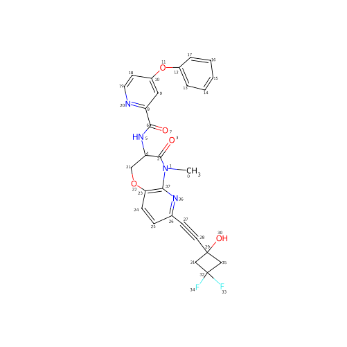 CN1C(=O)C(NC(=O)c2cc(Oc3ccccc3)ccn2)COc2ccc(C#CC3(O)CC(F)(F)C3)nc21